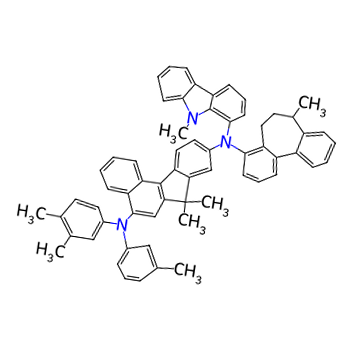 Cc1cccc(N(c2ccc(C)c(C)c2)c2cc3c(c4ccccc24)-c2ccc(N(c4cccc5c4CCC(C)c4ccccc4-5)c4cccc5c6ccccc6n(C)c45)cc2C3(C)C)c1